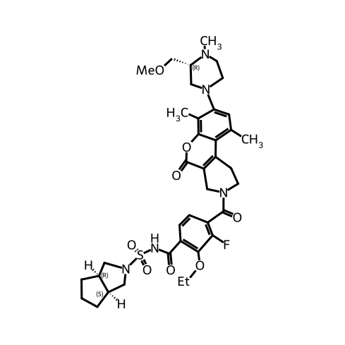 CCOc1c(C(=O)NS(=O)(=O)N2C[C@H]3CCC[C@H]3C2)ccc(C(=O)N2CCc3c(c(=O)oc4c(C)c(N5CCN(C)[C@@H](COC)C5)cc(C)c34)C2)c1F